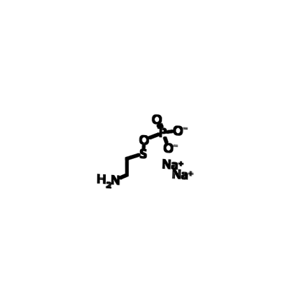 NCCSOP(=O)([O-])[O-].[Na+].[Na+]